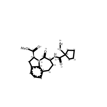 COC(=O)[C@@H]1Cc2cccc3c2N1C(=O)C(NC(=O)C1(SC(C)=O)CCCC1)CC3